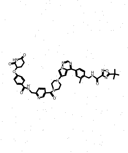 Cc1cc(-c2ncnn3cc(N4CCN(C(=O)c5ccc(CNC(=O)c6ccc(OC7CCC(=O)NC7=O)cc6)nc5)CC4)cc23)ccc1CNC(=O)c1noc(C(C)(C)C)n1